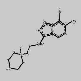 C[N+]1(CCNc2noc3c(Br)c(O)ccc23)CCOCC1